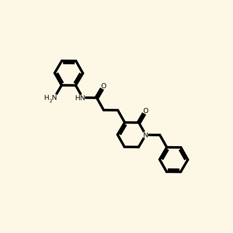 Nc1ccccc1NC(=O)CCC1=CCCN(Cc2ccccc2)C1=O